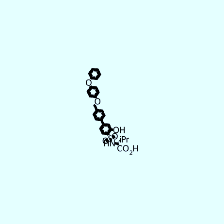 CC(C)[C@@H](NS(=O)(=O)c1ccc(-c2ccc(COc3ccc(Oc4ccccc4)cc3)cc2)cc1O)C(=O)O